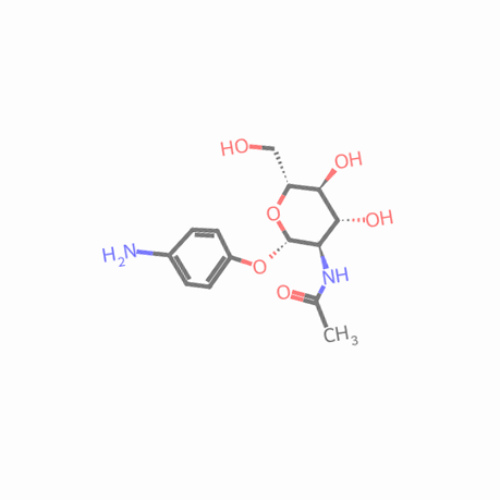 CC(=O)N[C@H]1[C@H](Oc2ccc(N)cc2)O[C@H](CO)[C@@H](O)[C@@H]1O